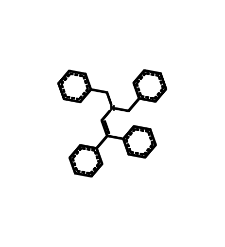 C(=C(c1ccccc1)c1ccccc1)N(Cc1ccccc1)Cc1ccccc1